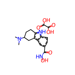 CN(C)C1CCc2[nH]c3ccc(C(=O)NO)cc3c2C1.O=C(O)C(=O)O